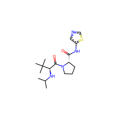 CC(C)N[C@H](C(=O)N1CCC[C@H]1C(=O)Nc1cncs1)C(C)(C)C